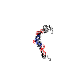 CCC(=O)COCC(=O)N1CCN(C(=O)N2CCN(C(=O)COC(C)C)CC2)CC1